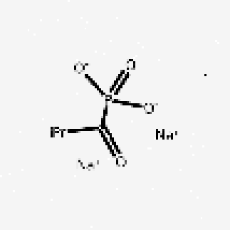 CC(C)C(=O)P(=O)([O-])[O-].[Na+].[Na+]